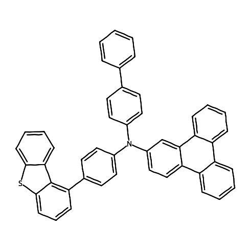 c1ccc(-c2ccc(N(c3ccc(-c4cccc5sc6ccccc6c45)cc3)c3ccc4c5ccccc5c5ccccc5c4c3)cc2)cc1